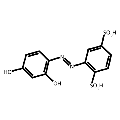 O=S(=O)(O)c1ccc(S(=O)(=O)O)c(/N=N/c2ccc(O)cc2O)c1